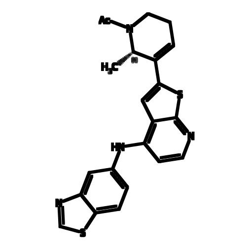 CC(=O)N1CCC=C(c2cc3c(Nc4ccc5scnc5c4)ccnc3s2)[C@@H]1C